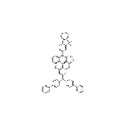 CC1(C)c2ccccc2-c2ccc(N(c3ccccc3)c3cccc4c3-c3cccc5cc(N(c6ccc(-c7ccccc7)cc6)c6ccc(-c7ccccc7)cc6)cc(c35)O4)cc21